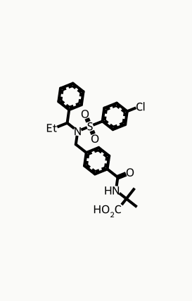 CCC(c1ccccc1)N(Cc1ccc(C(=O)NC(C)(C)C(=O)O)cc1)S(=O)(=O)c1ccc(Cl)cc1